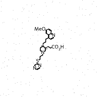 COc1ccc2nccc(CCC[C@@H]3CCN(CCCSc4cnccn4)C[C@@H]3CCC(=O)O)c2c1